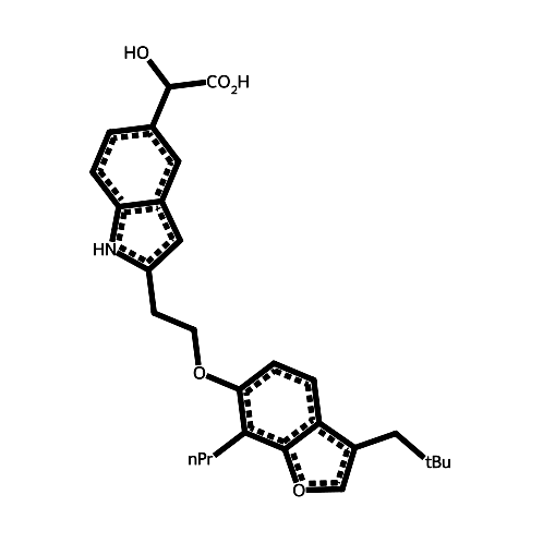 CCCc1c(OCCc2cc3cc(C(O)C(=O)O)ccc3[nH]2)ccc2c(CC(C)(C)C)coc12